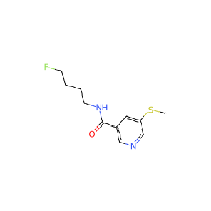 CSc1cncc(C(=O)NCCCCF)c1